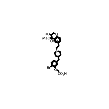 COC1(OC)c2cc(CCN3CCC(Cc4ccc(Br)c(OCC(=O)O)c4)CC3)ccc2OCC1O